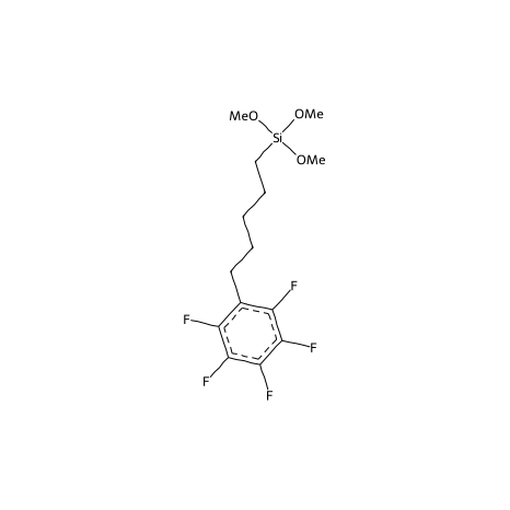 CO[Si](CCCCCc1c(F)c(F)c(F)c(F)c1F)(OC)OC